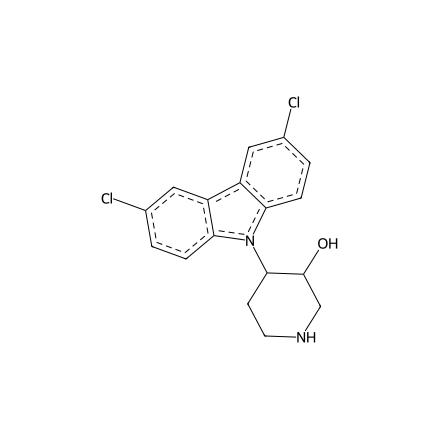 OC1CNCCC1n1c2ccc(Cl)cc2c2cc(Cl)ccc21